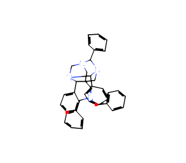 c1ccc(CN(Cc2ccccc2)CC23CN4CN(C(c5ccccc5)N(C2)C4c2ccccc2)C3c2ccccc2)cc1